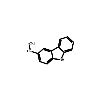 CCCCCCCCNc1ccc2[nH]c3ccccc3c2c1